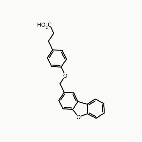 O=C(O)CCc1ccc(OCc2ccc3oc4ccccc4c3c2)cc1